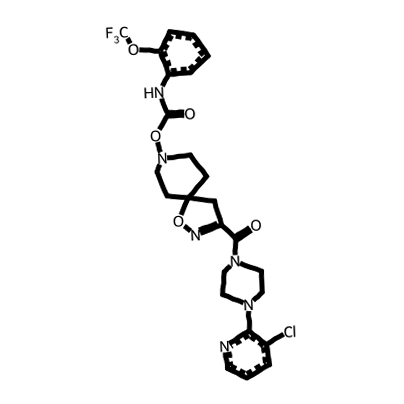 O=C(Nc1ccccc1OC(F)(F)F)ON1CCC2(CC1)CC(C(=O)N1CCN(c3ncccc3Cl)CC1)=NO2